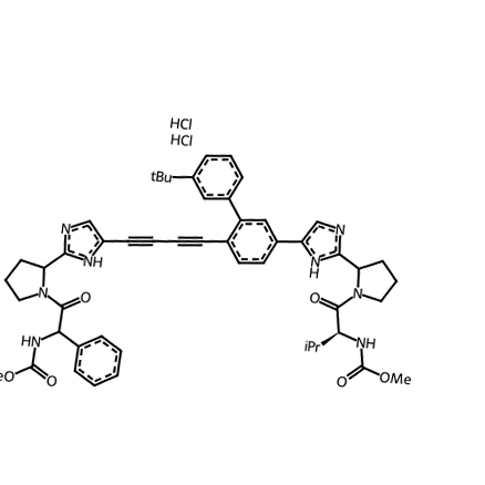 COC(=O)NC(C(=O)N1CCCC1c1ncc(C#CC#Cc2ccc(-c3cnc(C4CCCN4C(=O)[C@@H](NC(=O)OC)C(C)C)[nH]3)cc2-c2cccc(C(C)(C)C)c2)[nH]1)c1ccccc1.Cl.Cl